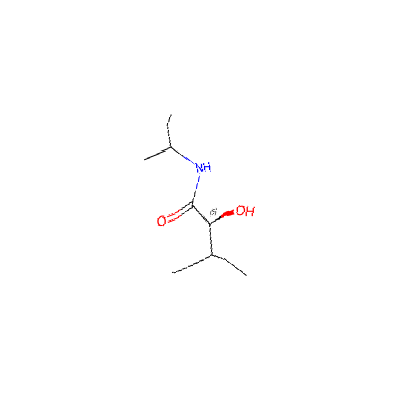 CC(C)NC(=O)[C@@H](O)C(C)C